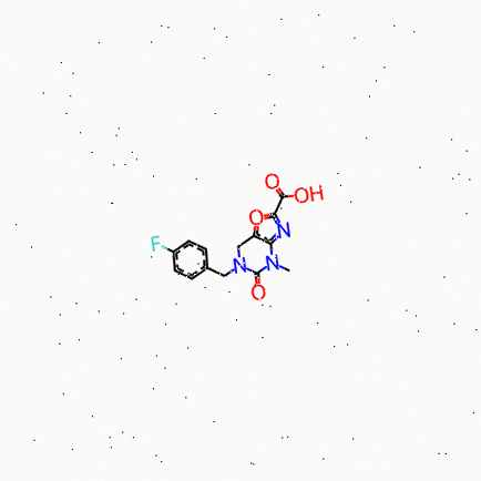 CN1C(=O)N(Cc2ccc(F)cc2)Cc2oc(C(=O)O)nc21